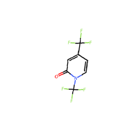 O=c1cc(C(F)(F)F)ccn1C(F)(F)F